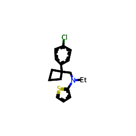 CCN(CC1(c2ccc(Cl)cc2)CCC1)c1cccs1